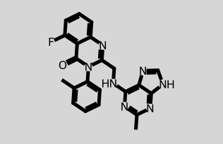 Cc1nc(NCc2nc3cccc(F)c3c(=O)n2-c2ccccc2C)c2nc[nH]c2n1